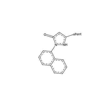 CCCCCc1cc(=O)n(-c2cccc3ccccc23)[nH]1